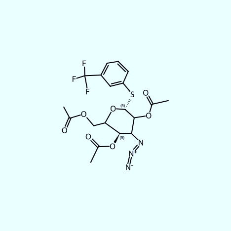 CC(=O)OCC1O[C@H](Sc2cccc(C(F)(F)F)c2)C(OC(C)=O)C(N=[N+]=[N-])[C@H]1OC(C)=O